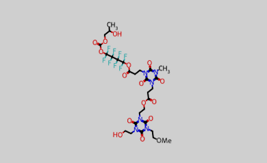 COCCn1c(=O)n(CCO)c(=O)n(CCOC(=O)CCn2c(=O)n(C)c(=O)n(CCC(=O)OC(F)(F)C(F)(F)C(F)(F)C(F)(F)OC(=O)OCC(C)O)c2=O)c1=O